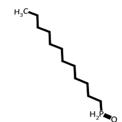 CCCCCCCCCCCC[PH2]=O